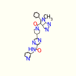 CN1C(c2ccccc2)=C(C(=O)N2CCC(c3cnc(C(=O)NCc4cccnc4)cn3)CC2)C2C=NC=NC21